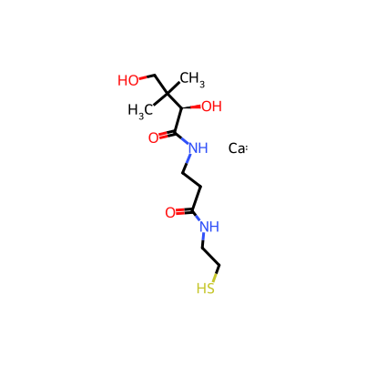 CC(C)(CO)[C@@H](O)C(=O)NCCC(=O)NCCS.[Ca]